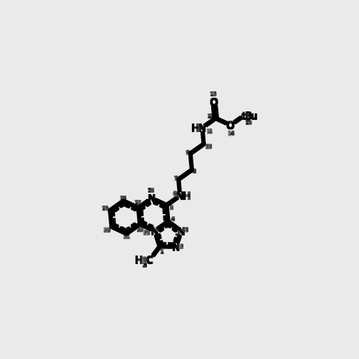 Cc1nnc2c(NCCCCNC(=O)OC(C)(C)C)nc3ccccc3n12